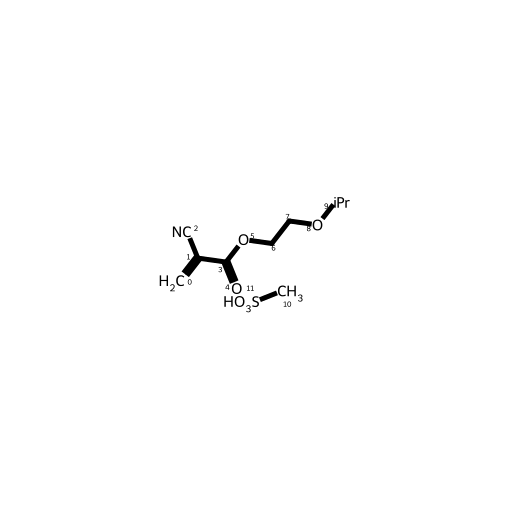 C=C(C#N)C(=O)OCCOC(C)C.CS(=O)(=O)O